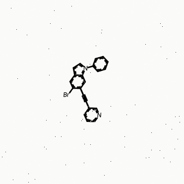 Brc1cc2ccn(-c3ccccc3)c2cc1C#Cc1cccnc1